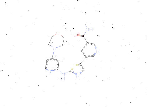 CNC(=O)c1cncc(-c2cnc(Nc3cc(N4CCOCC4)ccn3)s2)c1